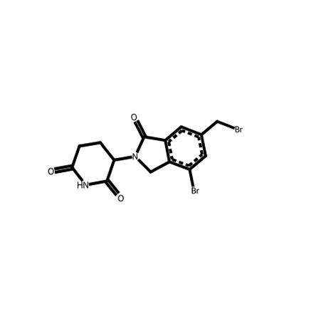 O=C1CCC(N2Cc3c(Br)cc(CBr)cc3C2=O)C(=O)N1